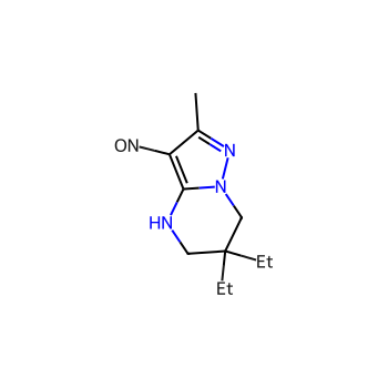 CCC1(CC)CNc2c(N=O)c(C)nn2C1